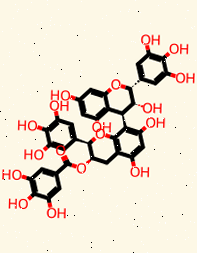 O=C(O[C@@H]1Cc2c(O)cc(O)c([C@H]3c4c(O)cc(O)cc4O[C@H](c4cc(O)c(O)c(O)c4)[C@@H]3O)c2O[C@@H]1c1cc(O)c(O)c(O)c1)c1cc(O)c(O)c(O)c1